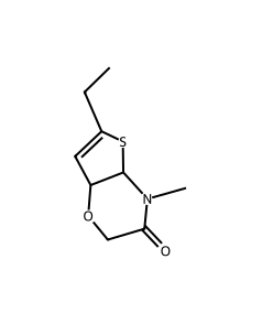 CCC1=CC2OCC(=O)N(C)C2S1